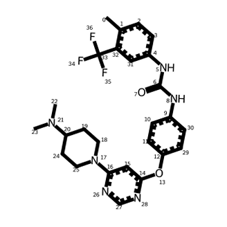 Cc1ccc(NC(=O)Nc2ccc(Oc3cc(N4CCC(N(C)C)CC4)ncn3)cc2)cc1C(F)(F)F